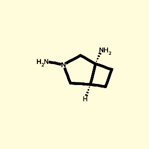 NN1C[C@@H]2CC[C@]2(N)C1